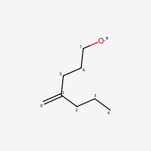 C=C(CCC)CCC[O]